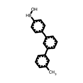 Cc1cccc(-c2cccc(-c3ccc(BO)cc3)c2)c1